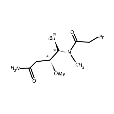 CC[C@H](C)[C@@H]([C@@H](CC(N)=O)OC)N(C)C(=O)CC(C)C